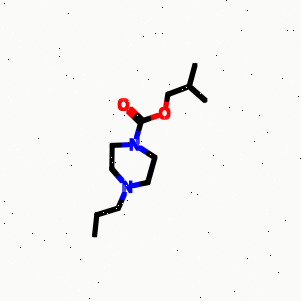 CCCN1CCN(C(=O)OCC(C)C)CC1